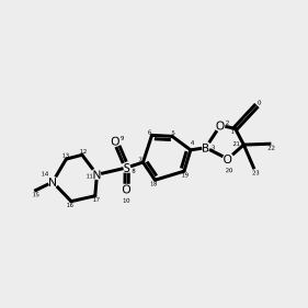 C=C1OB(c2ccc(S(=O)(=O)N3CCN(C)CC3)cc2)OC1(C)C